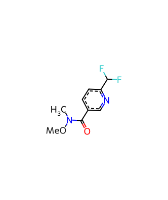 CON(C)C(=O)c1ccc(C(F)F)nc1